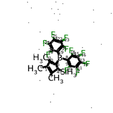 CC1=C(C)C([SiH3])C(B(c2c(F)c(F)c(F)c(F)c2F)c2c(F)c(F)c(F)c(F)c2F)=C1C